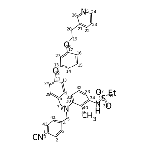 [C-]#[N+]c1ccc(CN(Cc2ccc(Oc3cccc(OCCc4cccnc4)c3)cc2)c2cccc(NS(=O)(=O)CC)c2C)cc1